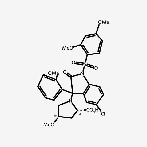 COc1ccc(S(=O)(=O)N2C(=O)C(c3ccccc3OC)(N3C[C@H](OC)C[C@H]3C(=O)O)c3cc(Cl)ccc32)c(OC)c1